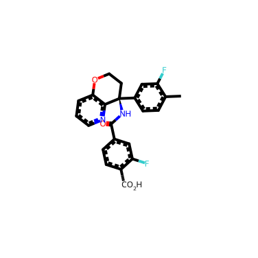 Cc1ccc([C@@]2(NC(=O)c3ccc(C(=O)O)c(F)c3)CCOc3cccnc32)cc1F